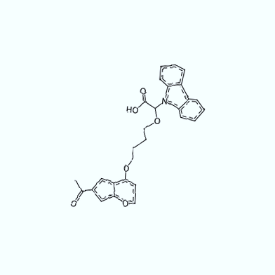 CC(=O)c1cc2occc(OCCCCOC(C(=O)O)n3c4ccccc4c4ccccc43)c-2c1